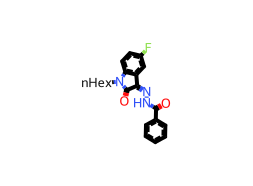 CCCCCCN1C(=O)/C(=N\NC(=O)c2ccccc2)c2cc(F)ccc21